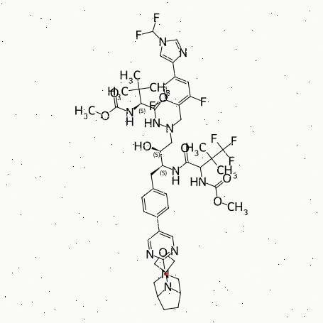 COC(=O)NC(C(=O)N[C@@H](Cc1ccc(-c2cnc(N3CC4CCC(C3)N4C3COC3)nc2)cc1)[C@@H](O)CN(Cc1c(F)cc(-c2cn(C(F)F)cn2)cc1F)NC(=O)[C@@H](NC(=O)OC)C(C)(C)C)C(C)(C)C(F)(F)F